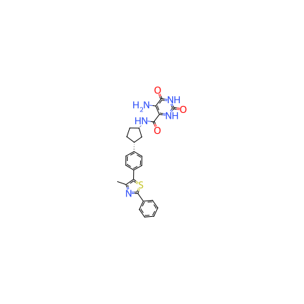 Cc1nc(-c2ccccc2)sc1-c1ccc([C@@H]2CC[C@H](NC(=O)c3[nH]c(=O)[nH]c(=O)c3N)C2)cc1